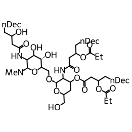 CCCCCCCCCCCC(O)CC(=O)NC1C(O)[C@H](O)C(CO[C@@H]2OC(CO)CC(OC(=O)CC(CCCCCCCCCCC)OC(=O)CC)C2NC(=O)CC(CCCCCCCCCCC)OC(=O)CC)O[C@H]1NC